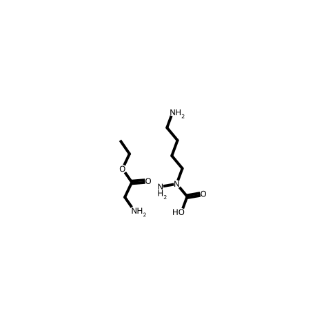 CCOC(=O)CN.NCCCCN(N)C(=O)O